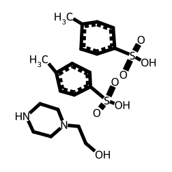 Cc1ccc(S(=O)(=O)O)cc1.Cc1ccc(S(=O)(=O)O)cc1.OCCN1CCNCC1